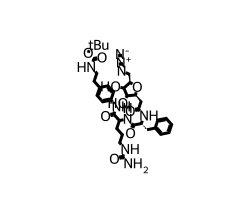 CC(C)(C)OC(=O)NCCc1ccc(NC(=O)C(CCCNC(N)=O)NC(=O)[C@@H](Cc2ccccc2)NC(=O)C[C@@H]2O[C@H](CN=[N+]=[N-])C(O)C2O)cc1